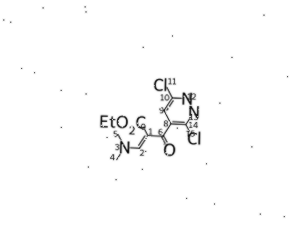 CCOC(=O)/C(=C\N(C)C)C(=O)c1cc(Cl)nnc1Cl